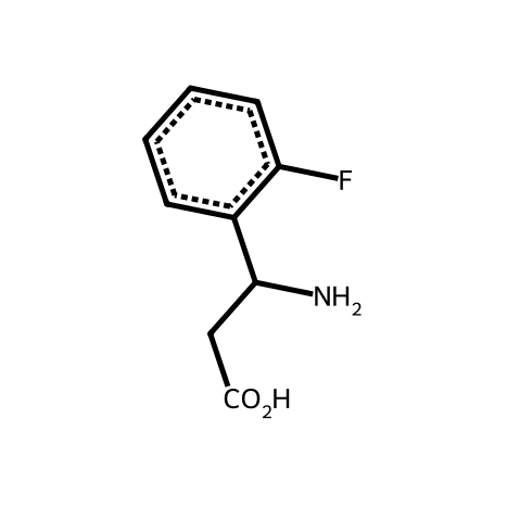 NC(CC(=O)O)c1ccccc1F